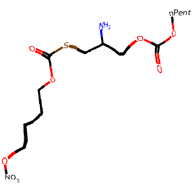 CCCCCOC(=O)OCC(N)CSC(=O)OCCCCO[N+](=O)[O-]